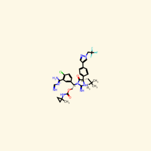 CC(C)(C)C[C@]1(c2ccc(-c3cnn(CC(F)(F)F)c3)cc2)NC(=N)N([C@H](COC(=O)NC2(C)CC2)c2ccc(Cl)c(/C(N)=N/C=N)c2)C1=O